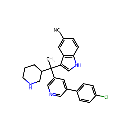 CC(c1cncc(-c2ccc(Cl)cc2)c1)(c1c[nH]c2ccc(C#N)cc12)C1CCCNC1